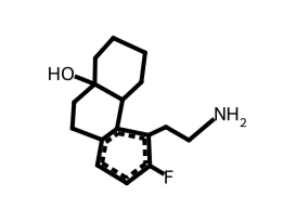 NCCc1c(F)ccc2c1C1CCCCC1(O)CC2